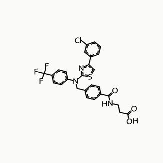 O=C(O)CCNC(=O)c1ccc(CN(c2ccc(C(F)(F)F)cc2)c2nc(-c3cccc(Cl)c3)cs2)cc1